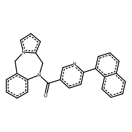 O=C(c1ccc(-c2cccc3ccccc23)nc1)N1Cc2cccn2Cc2ccccc21